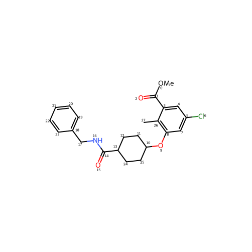 COC(=O)c1cc(Cl)cc(OC2CCC(C(=O)NCc3ccccc3)CC2)c1C